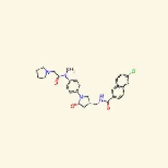 CN(C(=O)CN1CCCC1)c1ccc(N2CC(CNC(=O)c3ccc4cc(Cl)ccc4c3)CC2=O)cc1